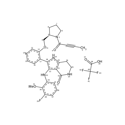 CC#CC(=O)N1CCC[C@@H]1COc1cnccc1-c1[nH]c2c(c1Nc1cccc(F)c1OC)C(=O)NCC2.O=C(O)C(F)(F)F